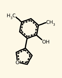 Cc1cc(C)c(O)c(-c2ccoc2)c1